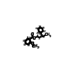 CCN(CCOC(=O)c1ccccc1OC)c1ccccc1